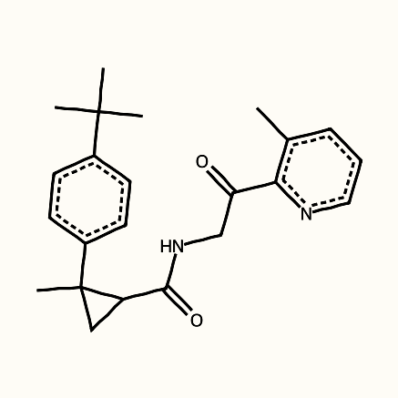 Cc1cccnc1C(=O)CNC(=O)C1CC1(C)c1ccc(C(C)(C)C)cc1